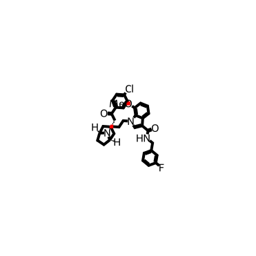 COc1cccc2c(C(=O)NCc3cccc(F)c3)cn(CCCN3[C@@H]4CC[C@H]3C[C@H](CC(=O)c3ccc(Cl)cc3)C4)c12